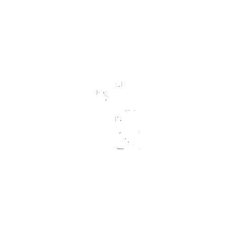 O=C(NCCN1C(=O)C=CC1=O)C1C[C@@H](O)[C@@H](O)C1